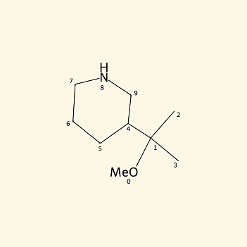 COC(C)(C)C1CCCNC1